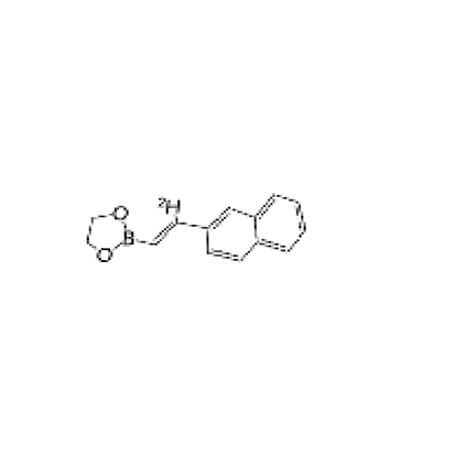 [2H]/C(=C\B1OCCO1)c1ccc2ccccc2c1